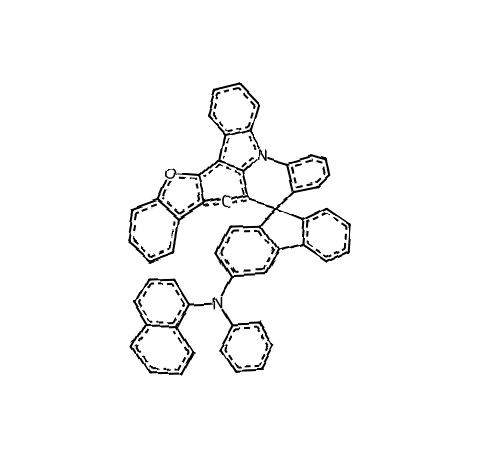 c1ccc(N(c2ccc3c(c2)-c2ccccc2C32c3ccccc3-n3c4ccccc4c4c5oc6ccccc6c5cc2c43)c2cccc3ccccc23)cc1